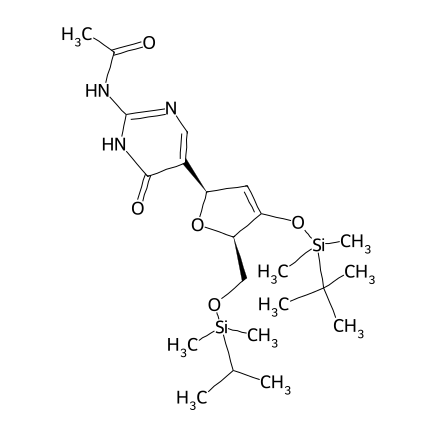 CC(=O)Nc1ncc([C@H]2C=C(O[Si](C)(C)C(C)(C)C)[C@@H](CO[Si](C)(C)C(C)C)O2)c(=O)[nH]1